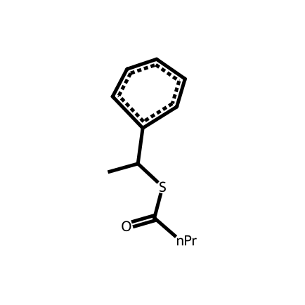 CCCC(=O)SC(C)c1ccccc1